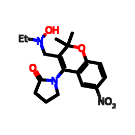 CCN(O)CC1=C(N2CCCC2=O)c2cc([N+](=O)[O-])ccc2OC1(C)C